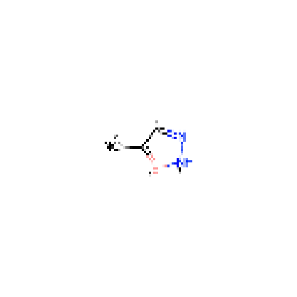 N#Cc1b[nH]nc1